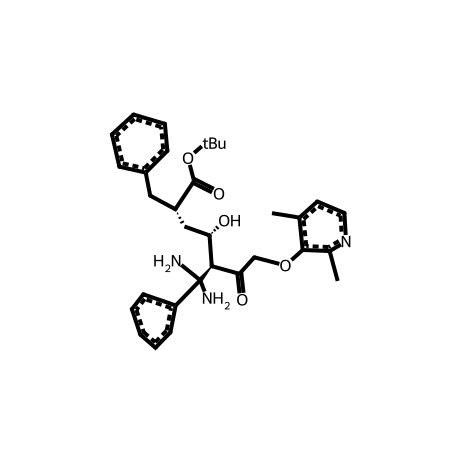 Cc1ccnc(C)c1OCC(=O)[C@H]([C@@H](O)C[C@H](Cc1ccccc1)C(=O)OC(C)(C)C)C(N)(N)c1ccccc1